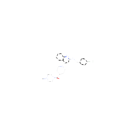 CN1CCN(C(=O)C2CCN(c3cc(NCc4ccc(Cl)cc4)nc4ccccc34)CC2)CC1